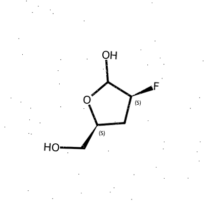 OC[C@@H]1C[C@H](F)C(O)O1